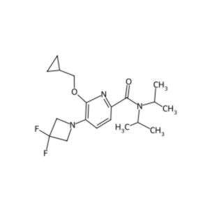 CC(C)N(C(=O)c1ccc(N2CC(F)(F)C2)c(OCC2CC2)n1)C(C)C